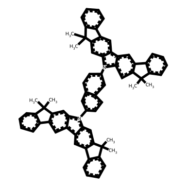 CC1(C)c2ccccc2-c2cc3c4cc5c(cc4n(-c4ccc6cc(-n7c8cc9c(cc8c8cc%10c(cc87)C(C)(C)c7ccccc7-%10)-c7ccccc7C9(C)C)ccc6c4)c3cc21)C(C)(C)c1ccccc1-5